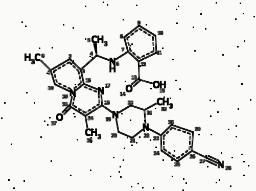 Cc1cc([C@@H](C)Nc2ccccc2C(=O)O)c2nc(N3CCN(c4ccc(C#N)cc4)C(C)C3)c(C)c(=O)n2c1